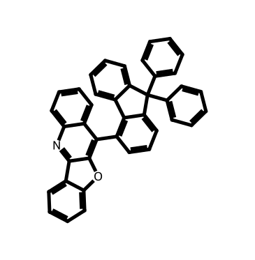 c1ccc(C2(c3ccccc3)c3ccccc3-c3c(-c4c5ccccc5nc5c4oc4ccccc45)cccc32)cc1